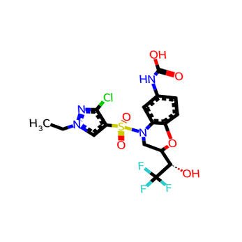 CCn1cc(S(=O)(=O)N2CC([C@H](O)C(F)(F)F)Oc3ccc(NC(=O)O)cc32)c(Cl)n1